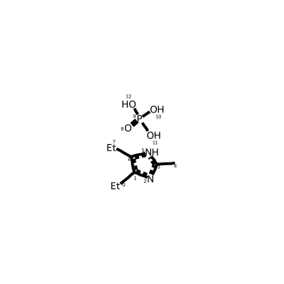 CCc1nc(C)[nH]c1CC.O=P(O)(O)O